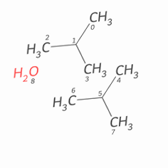 CC(C)C.CC(C)C.O